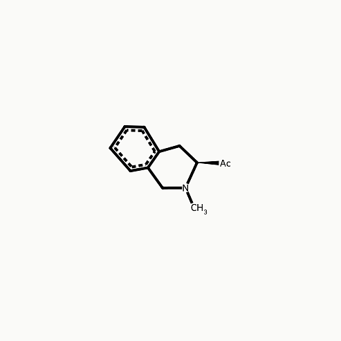 CC(=O)[C@@H]1Cc2ccccc2CN1C